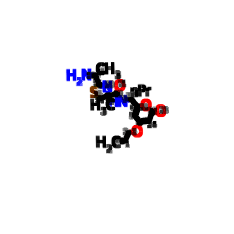 C=CCOc1cc([C@@H](CCC)NC(=O)[C@]2(C)CSC(C(C)N)=N2)oc(=O)c1